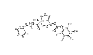 O=C(Oc1c(F)c(F)c(F)c(F)c1F)O[C@@H]1/C=C/CC[C@](O)(C(=O)NCCc2ccccc2)CC1